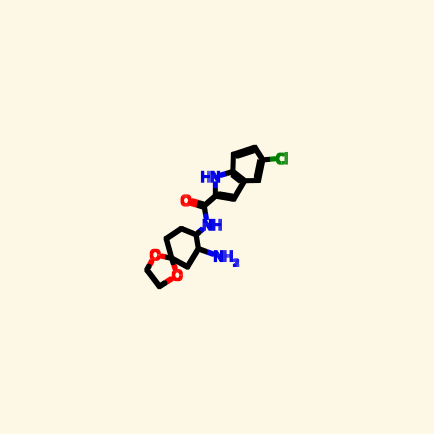 NC1CC2(CCC1NC(=O)c1cc3cc(Cl)ccc3[nH]1)OCCO2